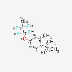 CCC(C)(C)c1ccc(OC(F)(F)C(F)(F)C(C)(C)C)cc1C